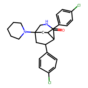 O=C1NCC2(N3CCCCC3)CC(c3ccc(Cl)cc3)C1C(c1ccc(Cl)cc1)C2